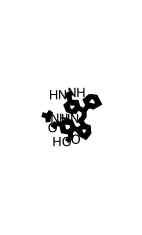 CC(C)(C)NC(=O)c1ccc(-c2ccccc2C2CC(c3ccccc3)c3cc(C(=N)N)ccc3N2)c(C(=O)O)c1